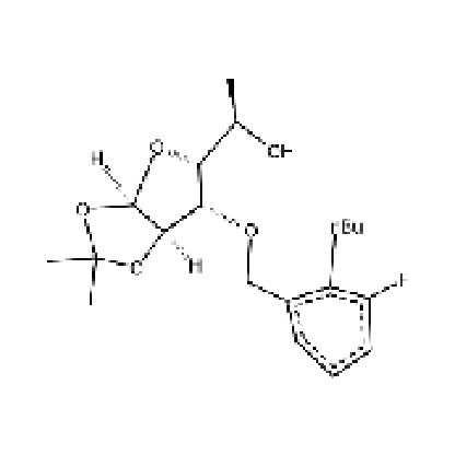 CCCCc1c(F)cccc1CO[C@@H]1[C@H]2OC(C)(C)O[C@H]2O[C@@H]1[C@@H](C)O